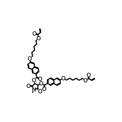 C=CC(=O)OCCCCCCOc1ccc2cc(C(=O)OC3C(=O)N(C)C(=O)[C@H]3OC(=O)c3ccc4cc(OCCCCCCOC(=O)C=C)ccc4c3)ccc2c1